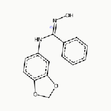 O/N=C(/Nc1ccc2c(c1)OCO2)c1ccccc1